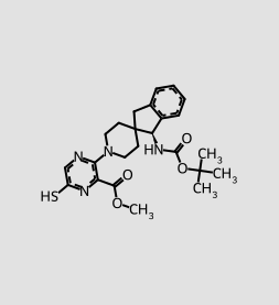 COC(=O)c1nc(S)cnc1N1CCC2(CC1)Cc1ccccc1[C@H]2NC(=O)OC(C)(C)C